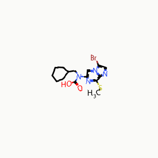 CSc1nc(N(CC2CCCCC2)C(=O)O)cn2c(Br)cnc12